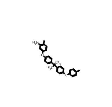 Cc1ccc(Oc2ccc(C(c3ccc(Oc4ccc(C)c(N)c4)cc3)(C(F)(F)F)C(F)(F)F)cc2)cc1